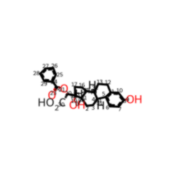 C[C@]12CC[C@@H]3c4ccc(O)cc4CC[C@H]3[C@@H]1CC[C@@]2(O)C(OC(=O)c1ccccc1)C(=O)O